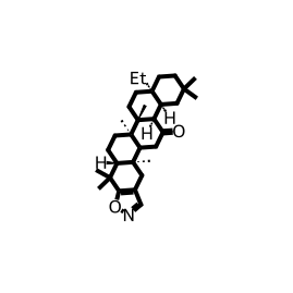 CC[C@]12CCC(C)(C)C[C@H]1[C@H]1C(=O)CC3[C@@]4(C)Cc5cnoc5C(C)(C)[C@@H]4CC[C@@]3(C)[C@]1(C)CC2